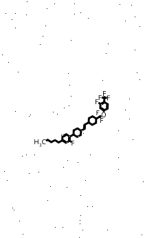 CCCCCc1ccc(C2CCC(/C=C/C3CCC(C(F)(F)Oc4ccc(C(F)(F)F)c(F)c4)CC3)CC2)c(F)c1